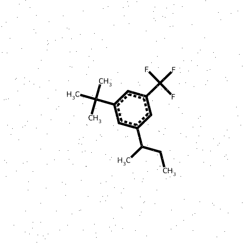 CCC(C)c1cc(C(C)(C)C)cc(C(F)(F)F)c1